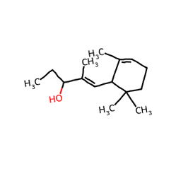 CCC(O)/C(C)=C/C1C(C)=CCCC1(C)C